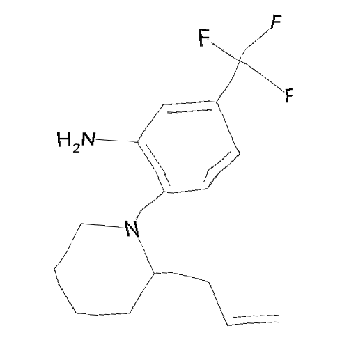 C=CCC1CCCCN1c1ccc(C(F)(F)F)cc1N